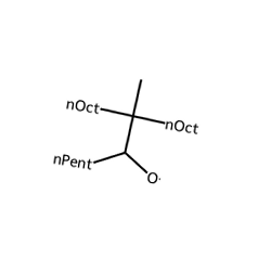 CCCCCCCCC(C)(CCCCCCCC)C([O])CCCCC